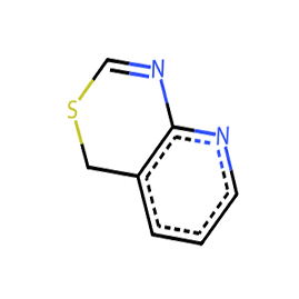 C1=Nc2ncccc2CS1